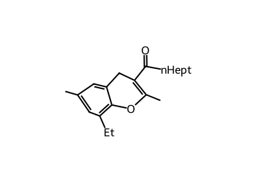 CCCCCCCC(=O)C1=C(C)Oc2c(CC)cc(C)cc2C1